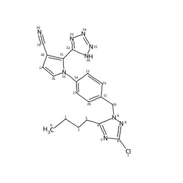 CCCCc1nc(Cl)nn1Cc1ccc(-n2ccc(C#N)c2-c2nnn[nH]2)cc1